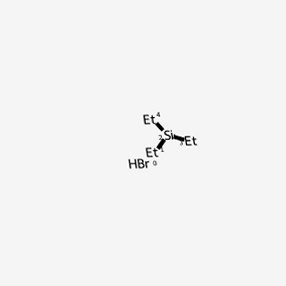 Br.CC[Si](CC)CC